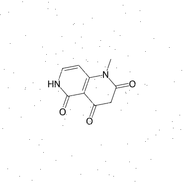 CN1C(=O)CC(=O)c2c1cc[nH]c2=O